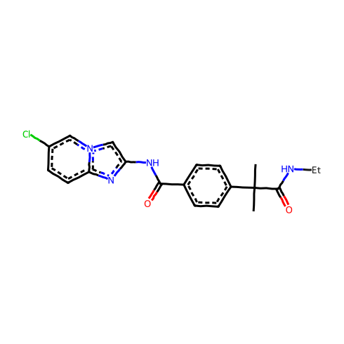 CCNC(=O)C(C)(C)c1ccc(C(=O)Nc2cn3cc(Cl)ccc3n2)cc1